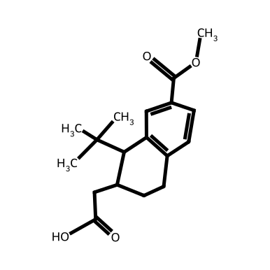 COC(=O)c1ccc2c(c1)C(C(C)(C)C)C(CC(=O)O)CC2